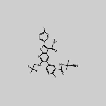 CNC(=O)c1c(-c2ccc(C)cc2)oc2nc(NCC(F)(F)F)c(-c3ccc(F)c(C(=O)NC(C)(C)C#N)c3)cc12